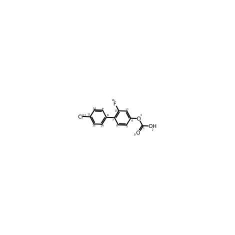 O=C(O)Oc1ccc(-c2ccc(Cl)cc2)c(F)c1